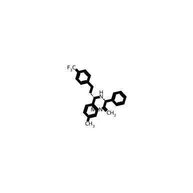 C=C(NC)[C@H](N[C@@H](CCc1ccc(C(F)(F)F)cc1)c1ccc(C)cc1)c1ccccc1